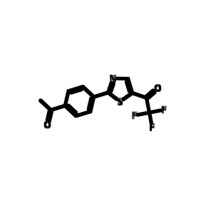 CC(=O)c1ccc(-c2ncc(C(=O)C(F)(F)F)s2)cc1